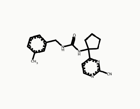 Cc1cccc(CNC(=O)NC2(c3ccnc(C#N)n3)CCCC2)c1